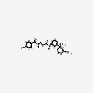 CC1(c2cccc(NC(=O)CCNC(=O)c3ccc(F)cc3)c2)CCSC(N)=N1